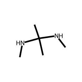 CNC(C)(C)NC